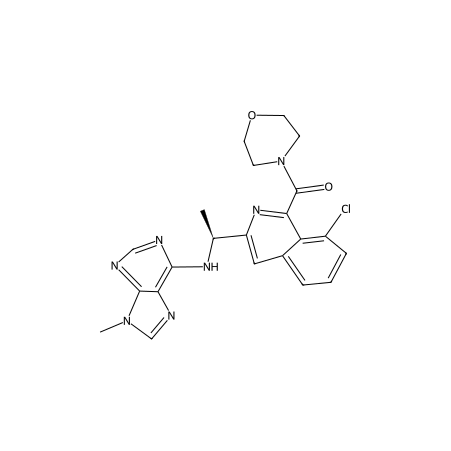 C[C@H](Nc1ncnc2c1ncn2C)c1cc2cccc(Cl)c2c(C(=O)N2CCOCC2)n1